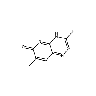 Cc1cc2ncc(F)[nH]c-2nc1=O